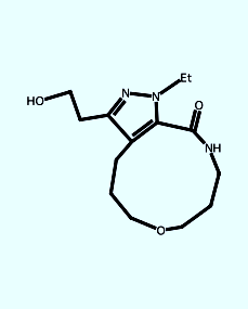 CCn1nc(CCO)c2c1C(=O)NCCCOCCC2